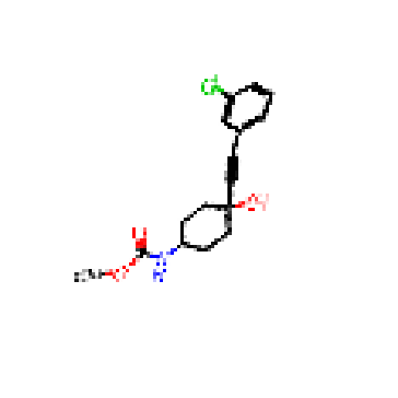 CC(C)(C)OC(=O)N[C@H]1CC[C@](O)(C#Cc2cccc(Cl)c2)CC1